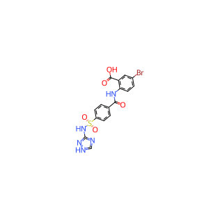 O=C(Nc1ccc(Br)cc1C(=O)O)c1ccc(S(=O)(=O)Nc2nc[nH]n2)cc1